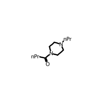 CCCC(=O)N1CCN(CCC)CC1